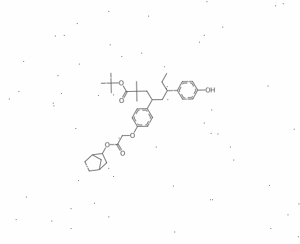 CCC(CC(CC(C)(C)C(=O)OC(C)(C)C)c1ccc(OCC(=O)OC2CC3CCC2C3)cc1)c1ccc(O)cc1